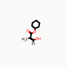 CCC(O)=C(C)C(=O)OC1CCCCC1